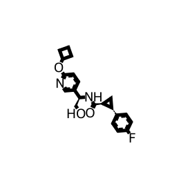 O=C(N[C@@H](CO)c1ccc(OC2CCC2)nc1)[C@H]1C[C@@H]1c1ccc(F)cc1